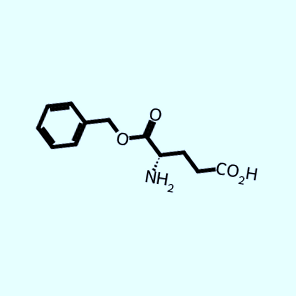 N[C@@H](CCC(=O)O)C(=O)OCc1ccccc1